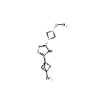 NC12CC(c3ncc([C@H]4C[C@@H](OC(F)(F)F)C4)[nH]3)(C1)C2